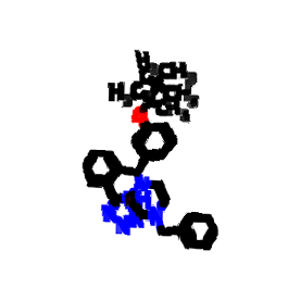 CC(C)(C)[Si](C)(C)Oc1cccc([C@H](c2ccccc2-c2nnn[nH]2)N2CCN(Cc3ccccc3)CC2)c1